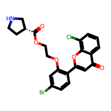 O=C(OCCOc1cc(Br)ccc1-c1cc(=O)c2cccc(Cl)c2o1)[C@@H]1CCNC1